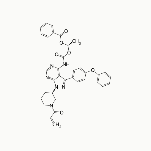 C=CC(=O)N1CCC[C@@H](n2nc(-c3ccc(Oc4ccccc4)cc3)c3c(NC(=O)O[C@H](C)OC(=O)c4ccccc4)ncnc32)C1